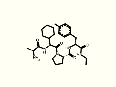 CCNC(=O)[C@H](Cc1ccc(F)cc1)NC(=O)[C@@H]1CCCN1C(=O)[C@@H](NC(=O)[C@H](C)N)C1CCCCC1